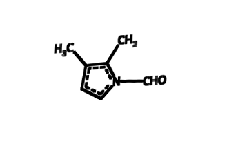 Cc1ccn(C=O)c1C